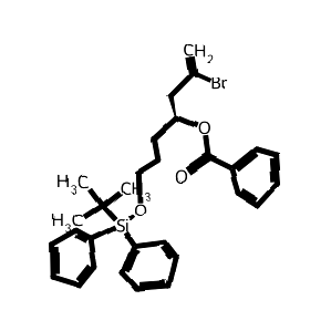 C=C(Br)C[C@H](CCCO[Si](c1ccccc1)(c1ccccc1)C(C)(C)C)OC(=O)c1ccccc1